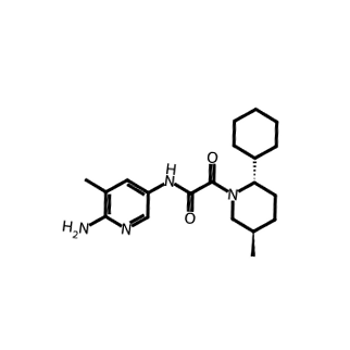 Cc1cc(NC(=O)C(=O)N2C[C@H](C)CC[C@H]2C2CCCCC2)cnc1N